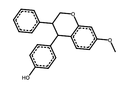 COc1ccc2c(c1)OCC(c1ccccc1)C2c1ccc(O)cc1